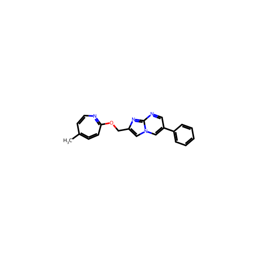 CC1=C=CC(OCc2cn3cc(-c4ccccc4)cnc3n2)=NC=C1